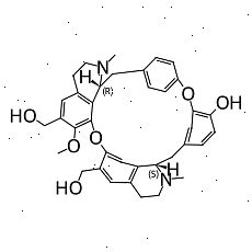 COc1c(CO)cc2c3c1Oc1cc4c(cc1CO)CCN(C)[C@H]4Cc1ccc(O)c(c1)Oc1ccc(cc1)C[C@H]3N(C)CC2